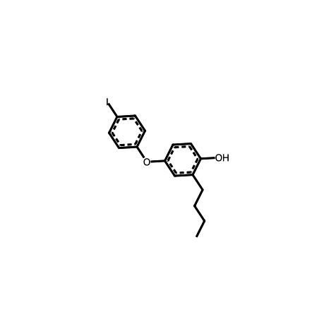 CCCCc1cc(Oc2ccc(I)cc2)ccc1O